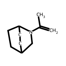 C=C(C)N1CC2CCC1CC2